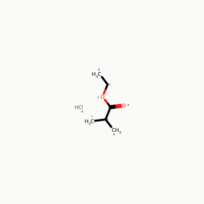 CCOC(=O)C(C)C.Cl